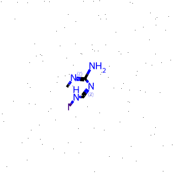 C/N=C(N)\N=C/NI